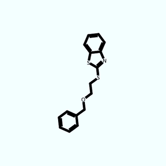 c1ccc(COCCSc2nc3ccccc3s2)cc1